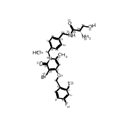 Cc1cc(OCc2ccc(F)cc2F)c(Br)c(=O)n1Cc1ccc(CNC(=O)[C@@H](N)CO)cc1.Cl